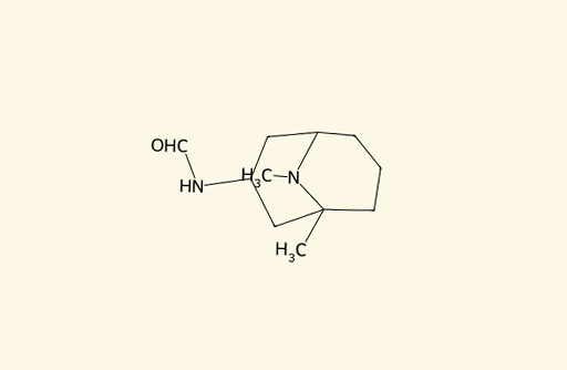 CN1C2CCCC1(C)CC(NC=O)C2